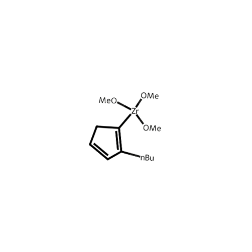 CCCCC1=[C]([Zr]([O]C)([O]C)[O]C)CC=C1